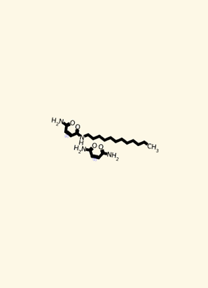 CCCCCCCCCCCCNC(=O)/C=C\C(N)=O.NC(=O)/C=C\C(N)=O